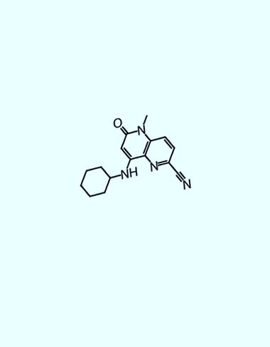 Cn1c(=O)cc(NC2CCCCC2)c2nc(C#N)ccc21